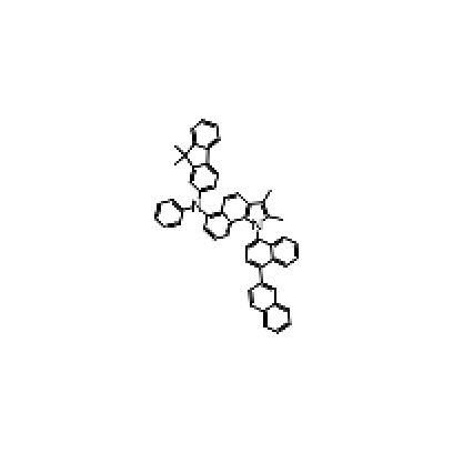 Cc1c(C)n(-c2ccc(-c3ccc4ccccc4c3)c3ccccc23)c2c1ccc1c(N(c3ccccc3)c3ccc4c(c3)C(C)(C)c3ccccc3-4)cccc12